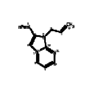 C=CCn1c(CCCCC)c[n+]2cccnc12